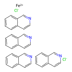 [Cl-].[Cl-].[Fe+2].c1ccc2cnccc2c1.c1ccc2cnccc2c1.c1ccc2cnccc2c1.c1ccc2cnccc2c1